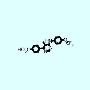 Cc1c(Nc2ccc(OC(F)(F)F)cc2)ncnc1-c1ccc(C(=O)O)cc1